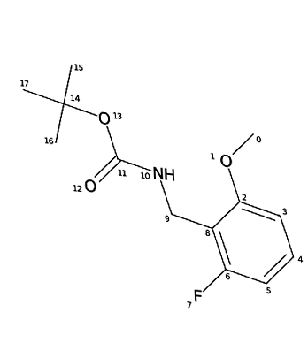 COc1cccc(F)c1CNC(=O)OC(C)(C)C